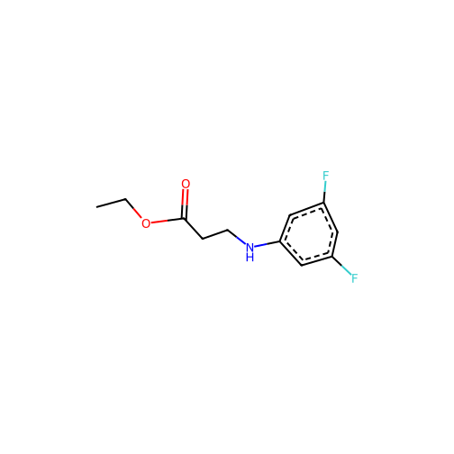 CCOC(=O)CCNc1cc(F)cc(F)c1